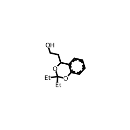 CCC1(CC)Oc2ccccc2C(CCO)O1